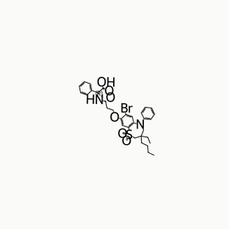 CCCCC1(CC)CN(c2ccccc2)c2cc(Br)c(OCCC(=O)N[C@@H](C(=O)O)c3ccccc3)cc2S(=O)(=O)C1